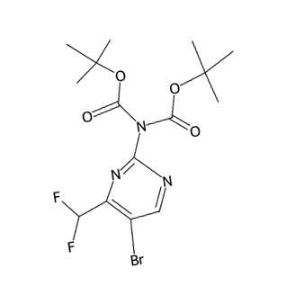 CC(C)(C)OC(=O)N(C(=O)OC(C)(C)C)c1ncc(Br)c(C(F)F)n1